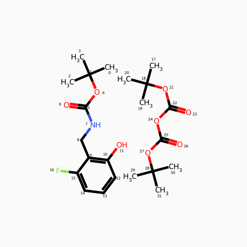 CC(C)(C)OC(=O)NCc1c(O)cccc1F.CC(C)(C)OC(=O)OC(=O)OC(C)(C)C